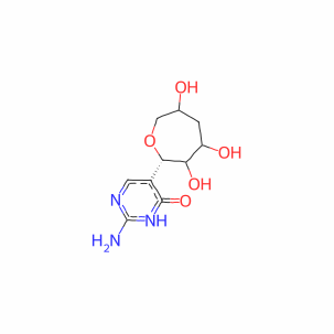 Nc1ncc([C@@H]2OCC(O)CC(O)C2O)c(=O)[nH]1